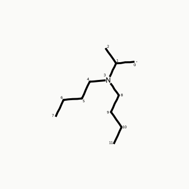 [CH2]C(C)N(CCCC)CCCC